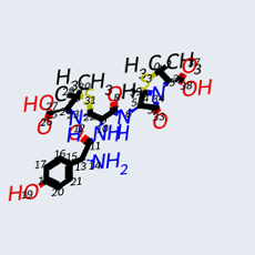 CC1(C)S[C@@H]2[C@H](NC(=O)[C@@H](NC(=O)[C@H](N)c3ccc(O)cc3)[C@@H]3N[C@@H](C(=O)O)C(C)(C)S3)C(=O)N2[C@H]1C(=O)O